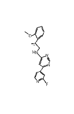 COc1ccccc1[C@H](C)CNc1cc(-c2ccnc(F)c2)ncn1